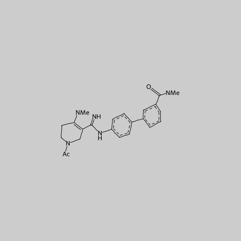 CNC(=O)c1cccc(-c2ccc(NC(=N)C3=C(NC)CCN(C(C)=O)C3)cc2)c1